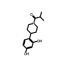 CC(C)C(=O)N1CCC(c2ccc(O)cc2O)CC1